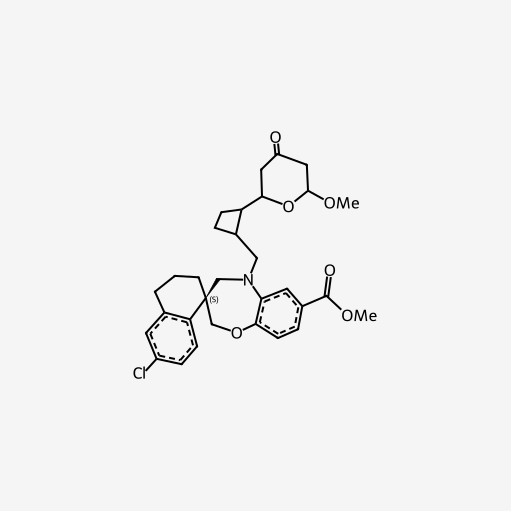 COC(=O)c1ccc2c(c1)N(CC1CCC1C1CC(=O)CC(OC)O1)C[C@@]1(CCCc3cc(Cl)ccc31)CO2